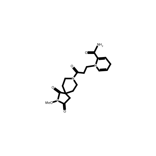 CON1C(=O)CC2(CCN(C(=O)CCN3C=CCC=C3C(N)=O)CC2)C1=O